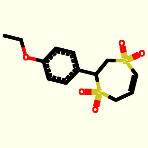 CCOc1ccc(C2CS(=O)(=O)C=CCS2(=O)=O)cc1